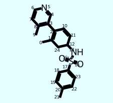 CC1=C(c2cnccc2C)C=CC(NS(=O)(=O)c2ccc(C)cc2)C1